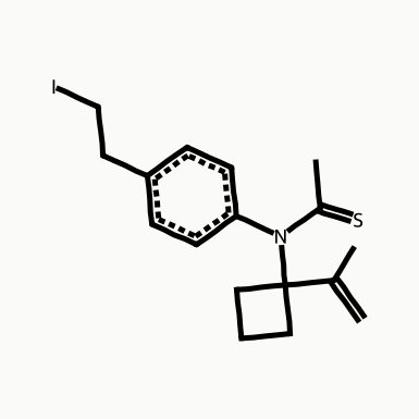 C=C(C)C1(N(C(C)=S)c2ccc(CCI)cc2)CCC1